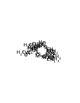 C=CC(=O)N1CC[C@H](C(=O)N(C2CC2)[C@H](C(=O)N[C@H]2Cc3cccc(c3)-c3ccc4c(c3)c(c(/C(C=C)=C(/N=C\C)[C@H](C)OC)n4CC)CC(C)(C)COC[C@@]3(C=O)CCCN(N3)C2=O)C(C)C)C1